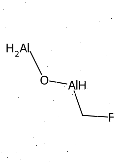 F[CH2][AlH][O][AlH2]